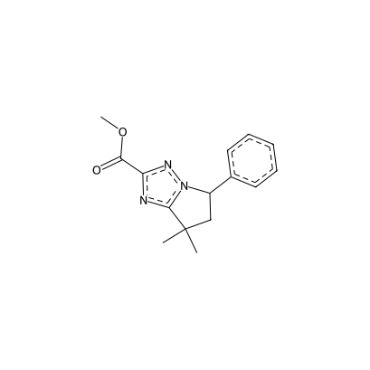 COC(=O)c1nc2n(n1)C(c1ccccc1)CC2(C)C